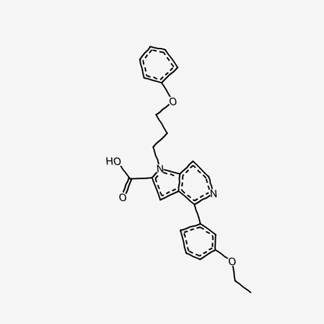 CCOc1cccc(-c2nccc3c2cc(C(=O)O)n3CCCOc2ccccc2)c1